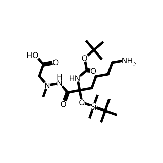 CN(CC(=O)O)NC(=O)C(CCCCN)(NC(=O)OC(C)(C)C)O[Si](C)(C)C(C)(C)C